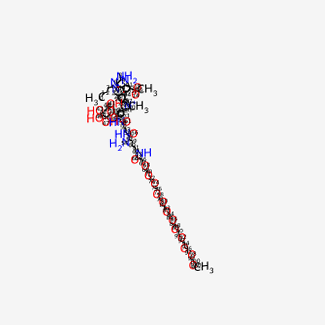 CCCCc1nc2c(N)nc3cc(C(=O)OC)ccc3c2n1Cc1ccc(C[N+](C)(C)Cc2ccc(O[C@H]3O[C@H](CO)[C@@H](O)[C@H](O)[C@@H]3O)c(NC(=O)CCNC(=O)[C@@H](N)CCCCNC(=O)CCOCCOCCOCCOCCOCCOCCOCCOCCOCCOCCOCCOC)c2)cc1